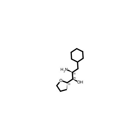 N[C@@H](CC1CCCCC1)[C@@H](O)[C@@H]1CCCO1